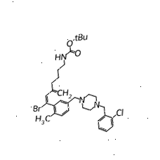 C=C(/C=C(/Br)c1cc(CN2CCN(Cc3ccccc3Cl)CC2)ccc1C)CCCCNC(=O)OC(C)(C)C